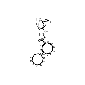 CC(C)(C)OC(=O)NNCC(=O)c1ccccccc(C2CCCCCCCCC2)cc1